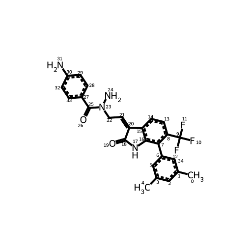 Cc1cc(C)cc(-c2c(C(F)(F)F)ccc3c2NC(=O)C3=CCN(N)C(=O)c2ccc(N)cc2)c1